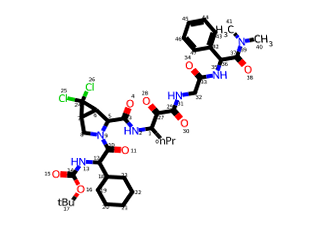 CCCC(NC(=O)C1C2C(CN1C(=O)C(NC(=O)OC(C)(C)C)C1CCCCC1)C2(Cl)Cl)C(=O)C(=O)NCC(=O)NC(C(=O)N(C)C)c1ccccc1